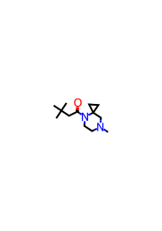 CN1CCN(C(=O)CC(C)(C)C)C2(CC2)C1